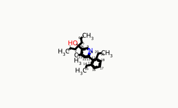 CCCC(O)(CCC)c1cnc(-c2c(CC)cccc2CC)cc1C